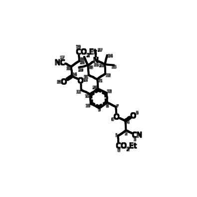 CCOC(=O)CC(C#N)C(=O)OCc1ccc(COC(=O)C(C#N)CC(=O)OCC)c(C2CC(C)(C)N(C)C(C)(C)C2)c1